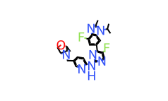 Cc1nc2c(F)cc(-c3nc(Nc4ccc(CN5CC6CC5CO6)cn4)ncc3F)cc2n1C(C)C